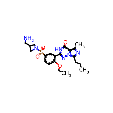 CCCc1nc(C)c2c(=O)[nH]c(-c3cc(S(=O)(=O)N4CC(CN)C4)ccc3OCC)nn12